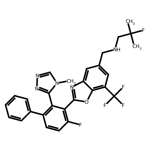 Cn1cnnc1-c1c(-c2ccccc2)ccc(F)c1-c1nc2cc(CNCC(C)(C)F)cc(C(F)(F)F)c2o1